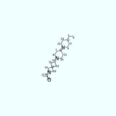 CCC1CCN(C2CCN(C3CC4(C3)CN(C(C)=O)C4)CC2)CC1